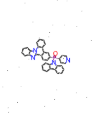 O=P(c1ccncc1)(c1ccc2c(c1)c1ccccc1n1c3ccccc3nc21)n1c2ccccc2c2ccccc21